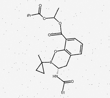 CCC(=O)N[C@H]1Cc2cccc(C(=O)OC(C)OC(=O)C(C)C)c2OB1C1(C)CC1